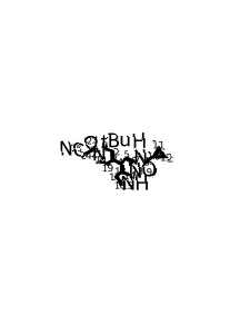 CC(C)(C)C1C=C(c2cc(NC(=O)C3CC3)nc3[nH]ccc23)CCN1C(=O)CC#N